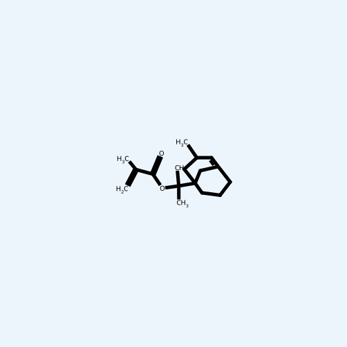 C=C(C)C(=O)OC(C)(C)C12CCCC(=CC(C)C1)C2